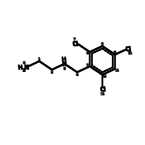 NCCNCc1c(Cl)cc(Cl)cc1Cl